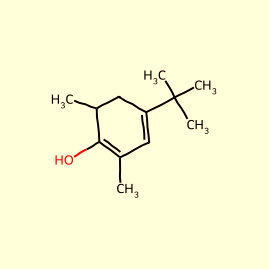 CC1=C(O)C(C)CC(C(C)(C)C)=C1